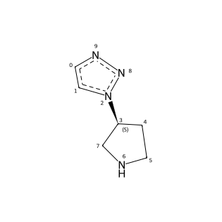 c1cn([C@H]2CCNC2)nn1